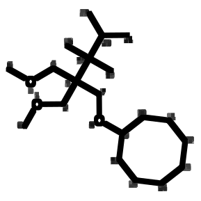 COCC(COC)(COC1CCCCCCC1)C(C)(C)C(C)C